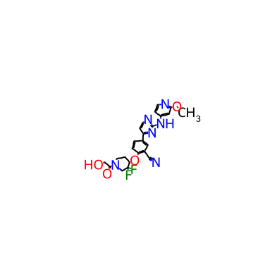 COc1cc(Nc2nccc(-c3ccc(OC4CCN(C(=O)CO)CC4(F)F)c(C#N)c3)n2)ccn1